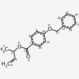 C=CC(C)OC(=O)c1ccc(OCc2ccccc2)cc1